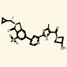 Cc1nc(-c2cc(-c3cc4c(c(S(C)(=O)=O)c3)C(=O)N([C@@H](C)C3CC3)C4)ccn2)[nH]c1C(=O)N1CC(O)C1